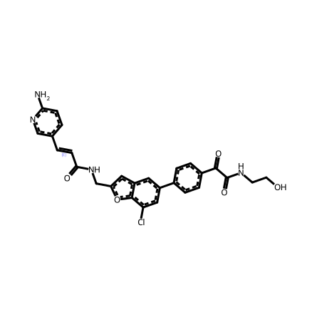 Nc1ccc(/C=C/C(=O)NCc2cc3cc(-c4ccc(C(=O)C(=O)NCCO)cc4)cc(Cl)c3o2)cn1